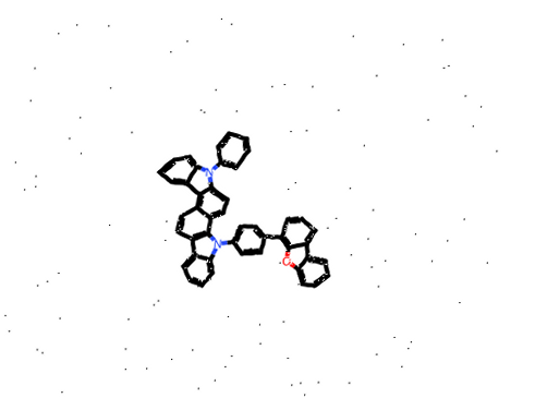 c1ccc(-n2c3ccccc3c3c4ccc5c6ccccc6n(-c6ccc(-c7cccc8c7oc7ccccc78)cc6)c5c4ccc32)cc1